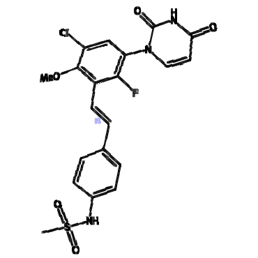 COc1c(Cl)cc(-n2ccc(=O)[nH]c2=O)c(F)c1/C=C/c1ccc(NS(C)(=O)=O)cc1